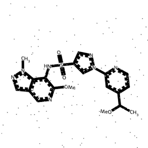 COc1ncc2cnn(C)c2c1NS(=O)(=O)c1cnn(-c2cc(C(C)OC)ccn2)c1